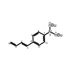 [CH]=CC=Cc1ccc(N(CCCC)CCCC)cc1